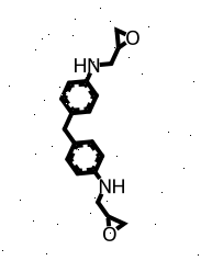 c1cc(NCC2CO2)ccc1Cc1ccc(NCC2CO2)cc1